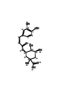 O=C(/C=C\c1ccc(O)c(O)c1)O[C@@H]1CC(O)(C(=O)O)C[C@H](O)C1O